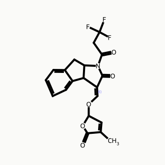 CC1=CC(O/C=C2/C(=O)N(C(=O)CC(F)(F)F)C3Cc4ccccc4C23)OC1=O